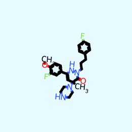 COc1ccc(C2=CC(C)(N3CCNCC3)C(=O)N(CCCc3ccc(F)cc3)N2)cc1F